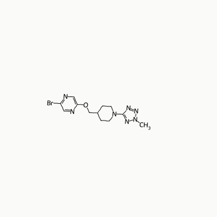 Cn1nnc(N2CCC(COc3cnc(Br)cn3)CC2)n1